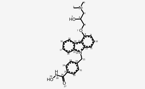 CN(C)CC(O)COc1cccc2c1c1ccccc1n2Cc1ccc(C(=O)NO)cc1